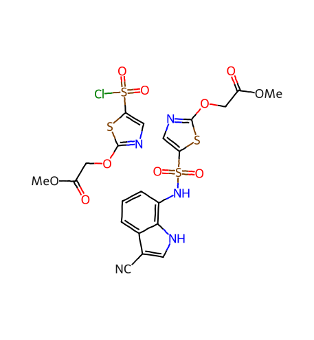 COC(=O)COc1ncc(S(=O)(=O)Cl)s1.COC(=O)COc1ncc(S(=O)(=O)Nc2cccc3c(C#N)c[nH]c23)s1